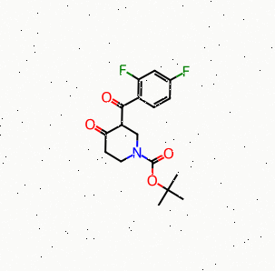 CC(C)(C)OC(=O)N1CCC(=O)C(C(=O)c2ccc(F)cc2F)C1